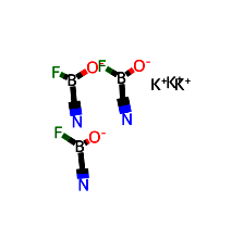 N#CB([O-])F.N#CB([O-])F.N#CB([O-])F.[K+].[K+].[K+]